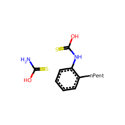 CCCCCc1ccccc1NC(O)=S.NC(O)=S